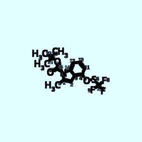 Cc1cc2c(OSC(F)(F)F)cccc2n1C(=O)OC(C)(C)C